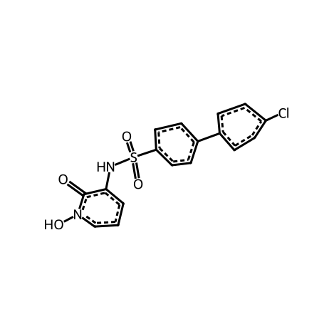 O=c1c(NS(=O)(=O)c2ccc(-c3ccc(Cl)cc3)cc2)cccn1O